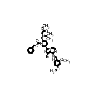 COC(=O)CN(C[C@H]1CC[C@@H](c2nc(Br)c3c(NCc4ccc(OC)cc4OC)nccn23)CN1C(=O)OCc1ccccc1)C(C)C